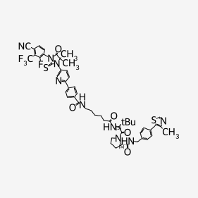 Cc1ncsc1-c1ccc(CNC(=O)[C@@H]2CCCN2C(=O)[C@@H](NC(=O)CCCCCNC(=O)c2ccc(-c3ccc(N4C(=S)N(c5ccc(C#N)c(C(F)(F)F)c5F)C(=O)C4(C)C)cn3)cc2)C(C)(C)C)cc1